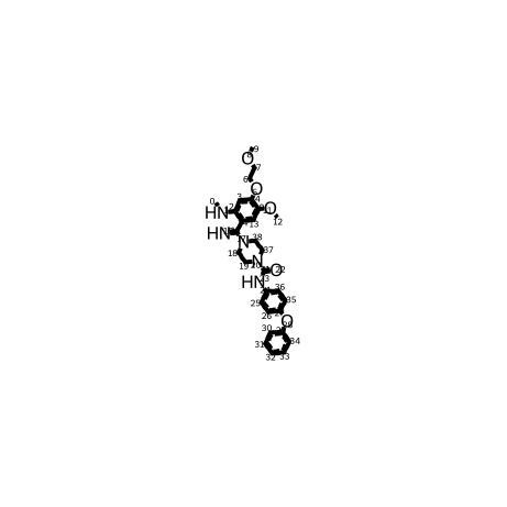 CNc1cc(OCCOC)c(OC)cc1C(=N)N1CCN(C(=O)Nc2ccc(Oc3ccccc3)cc2)CC1